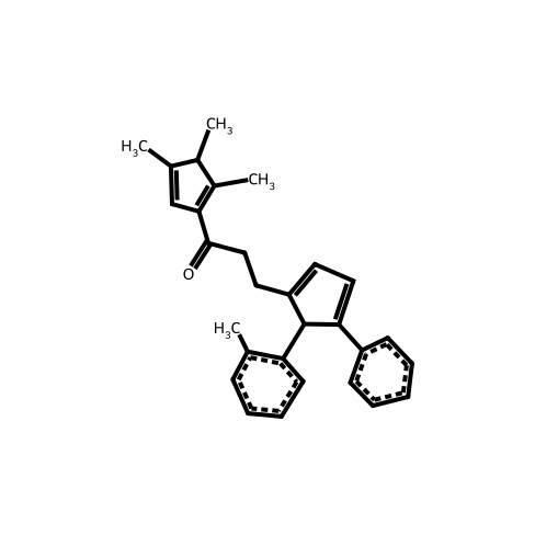 CC1=CC(C(=O)CCC2=CC=C(c3ccccc3)C2c2ccccc2C)=C(C)C1C